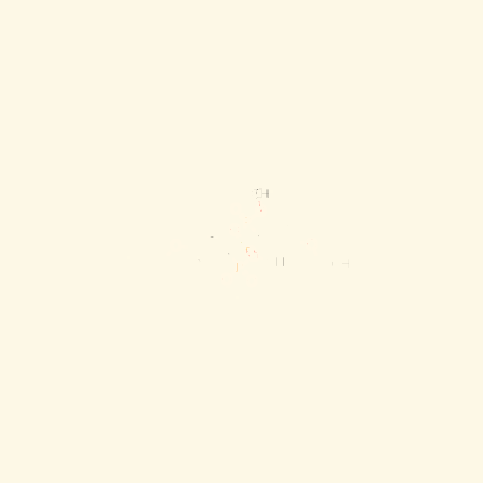 CCOC1=CCC(P(=O)(OC)OC)(S(=O)(=O)C2(P(=O)(OC)OC)C=CC(OCC)=CC2)C=C1